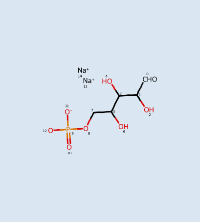 O=CC(O)C(O)C(O)COP(=O)([O-])[O-].[Na+].[Na+]